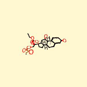 CCOC(=O)O[C@]1(C(=O)COS(C)(=O)=O)CC[C@H]2[C@@H]3CCC4=CC(=O)CC[C@]4(C)[C@H]3C(=O)C[C@@]21C